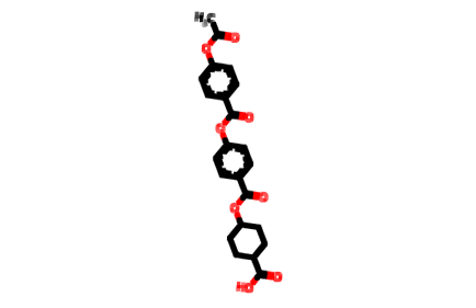 CC(=O)Oc1ccc(C(=O)Oc2ccc(C(=O)OC3CCC(C(=O)O)CC3)cc2)cc1